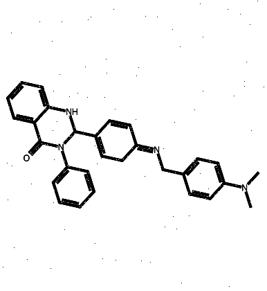 CN(C)c1ccc(CN=C2C=CC(C3Nc4ccccc4C(=O)N3c3ccccc3)=CC2)cc1